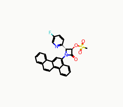 CS(=O)(=O)O[C@H]1C(=O)N(c2cc3c4ccccc4ccc3c3ccccc23)[C@@H]1c1ccc(F)cn1